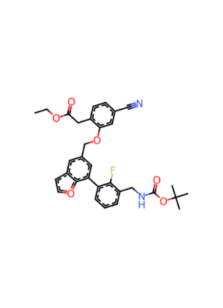 CCOC(=O)Cc1ccc(C#N)cc1OCc1cc(-c2cccc(CNC(=O)OC(C)(C)C)c2F)c2occc2c1